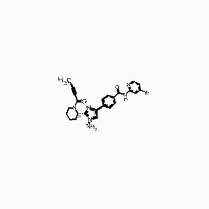 CC#CC(=O)N1CCCC[C@H]1c1nc(-c2ccc(C(=O)Nc3cc(Br)ccn3)cc2)cn1N